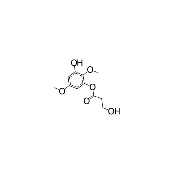 COc1cc(O)c(OC)c(OC(=O)CCO)c1